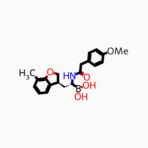 COc1ccc(CC(=O)N[C@@H](C[C@@H]2COc3c(C)cccc32)B(O)O)cc1